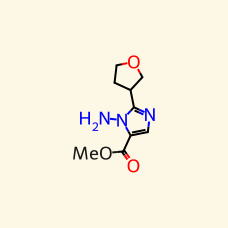 COC(=O)c1cnc(C2CCOC2)n1N